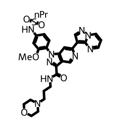 CCCS(=O)(=O)Nc1ccc(-n2nc(C(=O)NCCCN3CCOCC3)c3cnc(-c4cnn5cccnc45)cc32)c(OC)c1